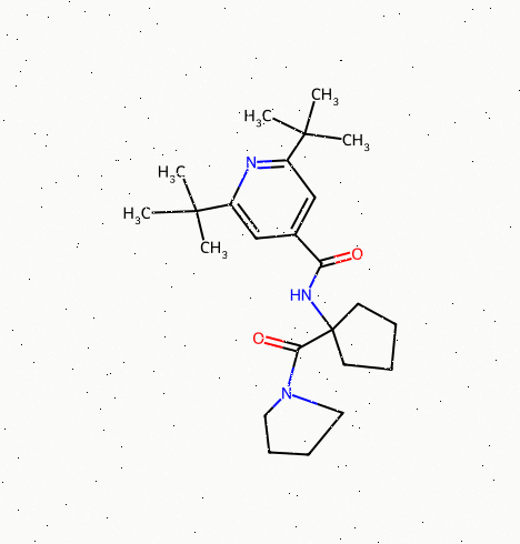 CC(C)(C)c1cc(C(=O)NC2(C(=O)N3CCCC3)CCCC2)cc(C(C)(C)C)n1